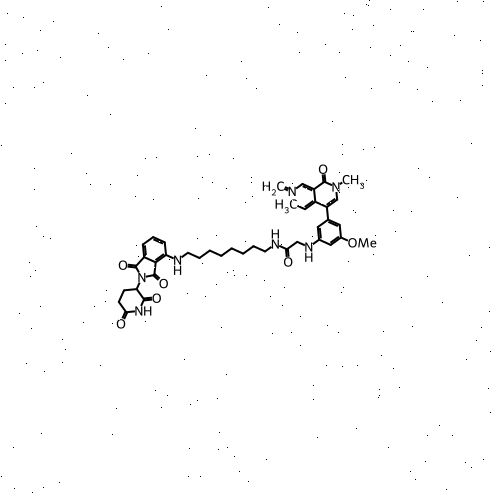 C=N/C=c1/c(=O)n(C)cc(-c2cc(NCC(=O)NCCCCCCCCNc3cccc4c3C(=O)N(C3CCC(=O)NC3=O)C4=O)cc(OC)c2)/c1=C/C